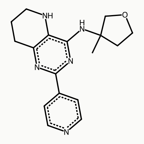 CC1(Nc2nc(-c3ccncc3)nc3c2NCCC3)CCOC1